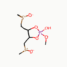 CO[P]1(O)OC(C[S+](C)[O-])C(C[S+](C)[O-])O1